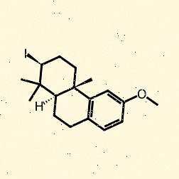 COc1ccc2c(c1)[C@@]1(C)CC[C@H](I)C(C)(C)[C@@H]1CC2